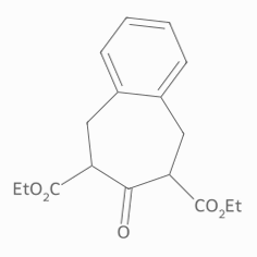 CCOC(=O)C1Cc2ccccc2CC(C(=O)OCC)C1=O